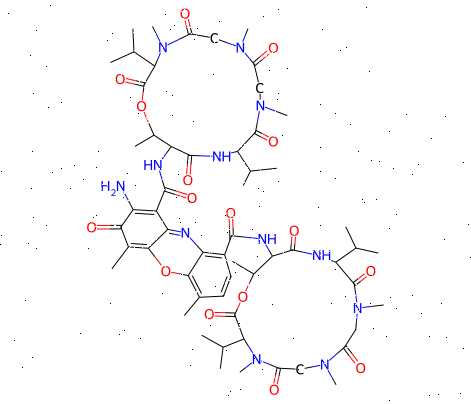 Cc1c2oc3c(C)ccc(C(=O)NC4C(=O)NC(C(C)C)C(=O)N(C)CC(=O)N(C)CC(=O)N(C)C(C(C)C)C(=O)OC4C)c3nc-2c(C(=O)NC2C(=O)NC(C(C)C)C(=O)N(C)CC(=O)N(C)CC(=O)N(C)C(C(C)C)C(=O)OC2C)c(N)c1=O